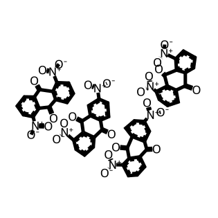 O=C1c2cc([N+](=O)[O-])ccc2C(=O)c2c1cccc2[N+](=O)[O-].O=C1c2ccc([N+](=O)[O-])cc2C(=O)c2c1cccc2[N+](=O)[O-].O=C1c2cccc([N+](=O)[O-])c2C(=O)c2c1cccc2[N+](=O)[O-].O=C1c2cccc([N+](=O)[O-])c2C(=O)c2cccc([N+](=O)[O-])c21